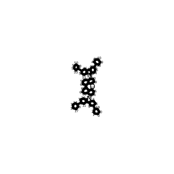 c1ccc(-c2ccc3c(c2)c2cc(-c4ccccc4)ccc2n3-c2ccc3oc4ccc(-n5c6ccc(-c7ccccc7)cc6c6cc(-c7ccccc7)ccc65)c5cccc(c6cccc2c36)c45)cc1